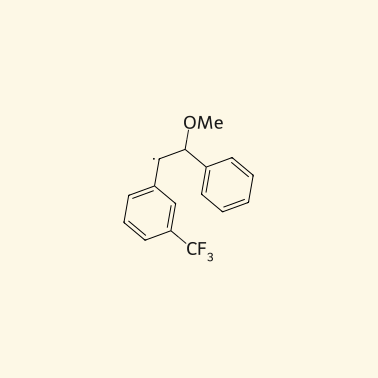 COC([CH]c1cccc(C(F)(F)F)c1)c1ccccc1